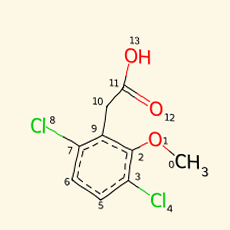 COc1c(Cl)ccc(Cl)c1CC(=O)O